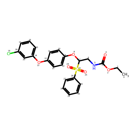 CCOC(=O)NCC(Oc1ccc(Oc2cccc(Cl)c2)cc1)S(=O)(=O)c1ccccc1